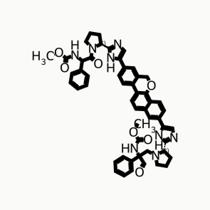 COC(=O)NC(C(=O)N1CCC[C@H]1c1ncc(-c2ccc3c(c2)COc2c-3ccc3cc(-c4cnc([C@@H]5CCCN5CC(C=O)(NC(=O)OC)c5ccccc5)[nH]4)ccc23)[nH]1)c1ccccc1